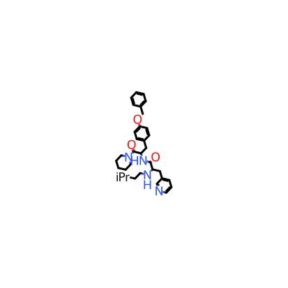 CC(C)CCNC(Cc1cccnc1)C(=O)NC(Cc1ccc(OCc2ccccc2)cc1)C(=O)N1CCCCC1